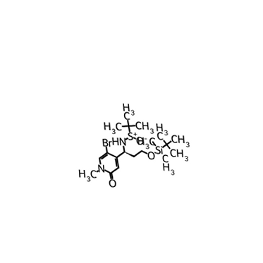 Cn1cc(Br)c([C@H](CCO[Si](C)(C)C(C)(C)C)N[S+]([O-])C(C)(C)C)cc1=O